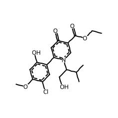 CCOC(=O)c1cn(C(CO)C(C)C)c(-c2cc(Cl)c(OC)cc2O)cc1=O